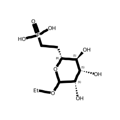 CCOC1O[C@H](CCP(=O)(O)O)[C@@H](O)[C@H](O)[C@@H]1O